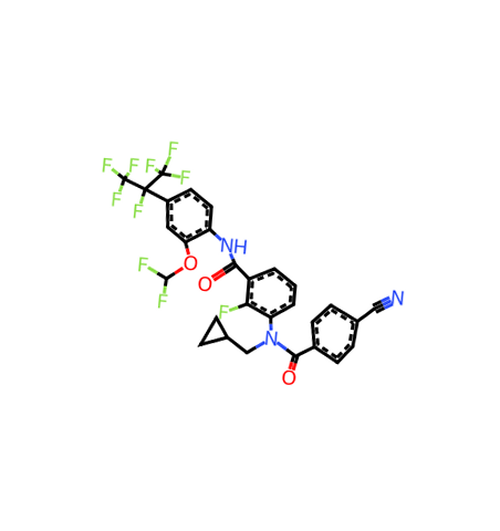 N#Cc1ccc(C(=O)N(CC2CC2)c2cccc(C(=O)Nc3ccc(C(F)(C(F)(F)F)C(F)(F)F)cc3OC(F)F)c2F)cc1